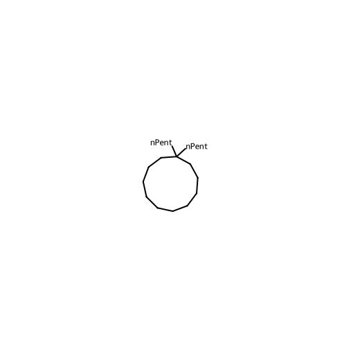 CCCCCC1(CCCCC)CCCCCCCCCC1